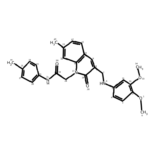 COc1ccc(NCc2cc3ccc(C)cc3n(CC(=O)Nc3ccc(C)cc3)c2=O)cc1OC